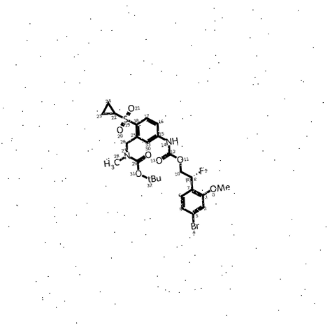 COc1cc(Br)ccc1[C@@H](F)COC(=O)Nc1ccc(S(=O)(=O)C2CC2)c(CN(C)C(=O)OC(C)(C)C)c1